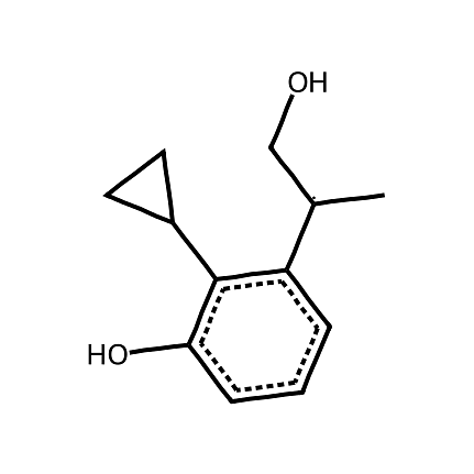 C[C](CO)c1cccc(O)c1C1CC1